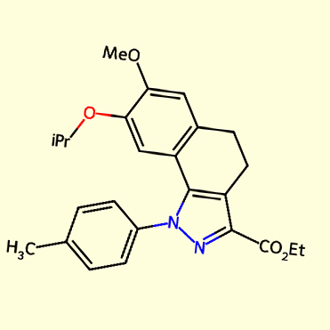 CCOC(=O)c1nn(-c2ccc(C)cc2)c2c1CCc1cc(OC)c(OC(C)C)cc1-2